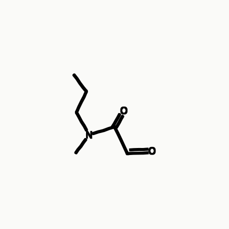 CCCN(C)C(=O)C=O